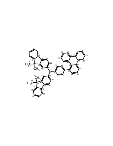 CC1(C)c2ccccc2-c2ccc(N(c3ccc(-c4cccc5c6ccccc6c6ccccc6c45)cc3)c3ccc4c(c3)C(C)(C)c3ccccc3-4)cc21